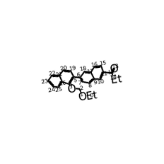 CCOCOc1c(-c2ccc3cc(C(=O)CC)ccc3c2)ccc2ccccc12